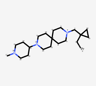 CC(C)CC1(CN2CCC3(CC2)CCN(C2CCN(C)CC2)CC3)CC1